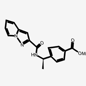 COC(=O)c1ccc([C@@H](C)NC(=O)c2cc3ccccn3n2)cc1